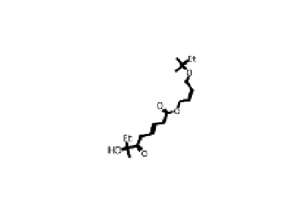 CCC(C)(C)OC/C=C\COC(=O)C/C=C/CC(=O)C(C)(O)CC